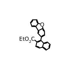 CCOC(=O)c1ccc2ccccc2c1-c1ccc2oc3ccccc3c2c1